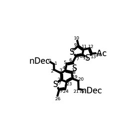 CCCCCCCCCCCCc1c2cc(-c3sc(C)c4cc(C(C)=O)sc34)sc2c(CCCCCCCCCCCC)c2cc(C)sc12